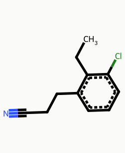 CCc1c(Cl)cccc1CCC#N